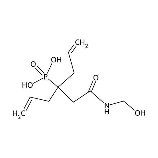 C=CCC(CC=C)(CC(=O)NCO)P(=O)(O)O